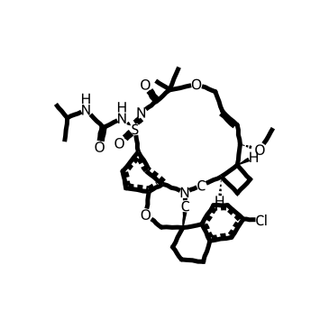 CO[C@H]1/C=C/COC(C)(C)C(=O)N=[S@@](=O)(NC(=O)NC(C)C)c2ccc3c(c2)N(C[C@@H]2CC[C@H]21)C[C@@]1(CCCc2cc(Cl)ccc21)CO3